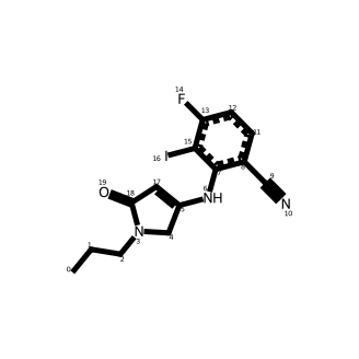 CCCN1CC(Nc2c(C#N)ccc(F)c2I)=CC1=O